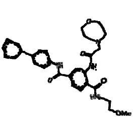 COCCNC(=O)c1ccc(C(=O)Nc2ccc(-c3ccccc3)cc2)cc1NC(=O)CN1CCOCC1